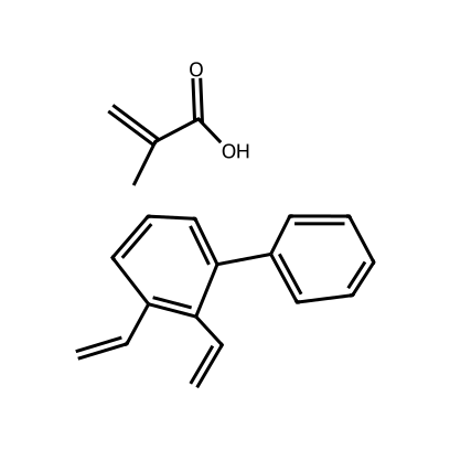 C=C(C)C(=O)O.C=Cc1cccc(-c2ccccc2)c1C=C